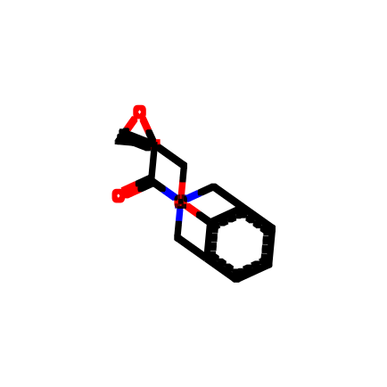 C=CC(=O)N1Cc2cccc(c2OCC2CO2)C1